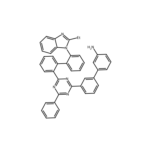 CCc1nc2ccccc2n1-c1ccccc1-c1ccccc1-c1nc(-c2ccccc2)nc(-c2cccc(-c3cccc(N)c3)c2)n1